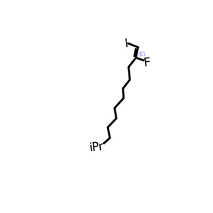 CC(C)CCCCCCCC/C(F)=C\I